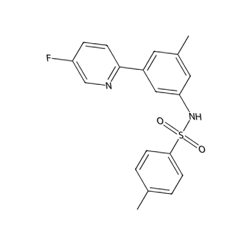 Cc1ccc(S(=O)(=O)Nc2cc(C)cc(-c3ccc(F)cn3)c2)cc1